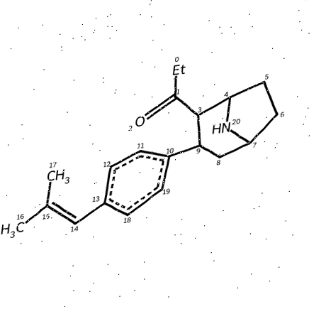 CCC(=O)C1C2CCC(CC1c1ccc(C=C(C)C)cc1)N2